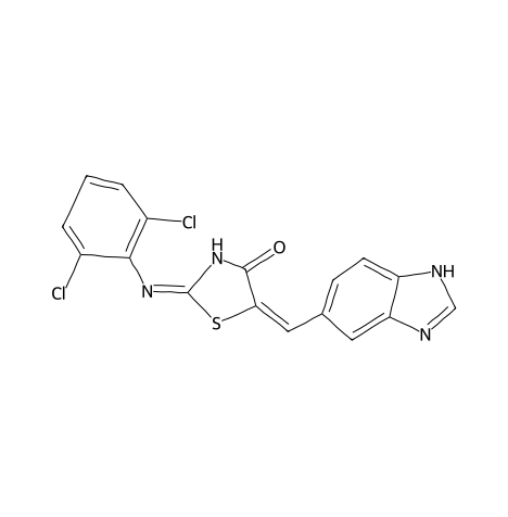 O=C1NC(=Nc2c(Cl)cccc2Cl)SC1=Cc1ccc2[nH]cnc2c1